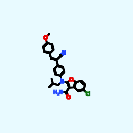 COc1ccc(/C=C(\C#N)c2ccc(N(CC(C)C)c3oc4ccc(Cl)cc4c3C(N)=O)cc2)cc1